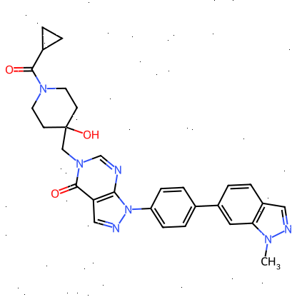 Cn1ncc2ccc(-c3ccc(-n4ncc5c(=O)n(CC6(O)CCN(C(=O)C7CC7)CC6)cnc54)cc3)cc21